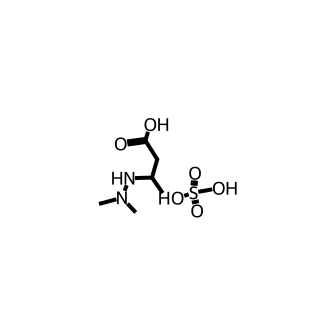 CC(CC(=O)O)NN(C)C.O=S(=O)(O)O